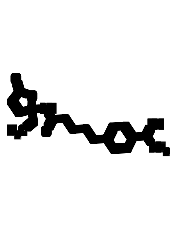 C=CC1(NC(=O)CCCCc2ccc(C(=N)N)cc2)C=CC(=O)O1